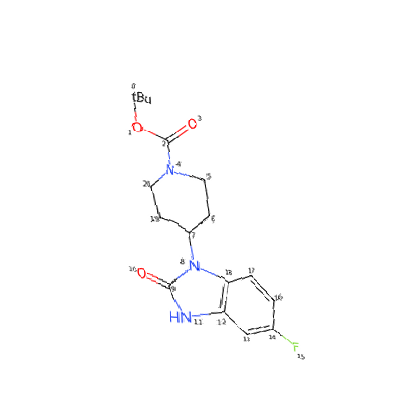 CC(C)(C)OC(=O)N1CCC(n2c(=O)[nH]c3cc(F)ccc32)CC1